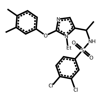 CCn1c(C(C)NS(=O)(=O)c2ccc(Cl)c(Cl)c2)cnc1Oc1ccc(C)c(C)c1